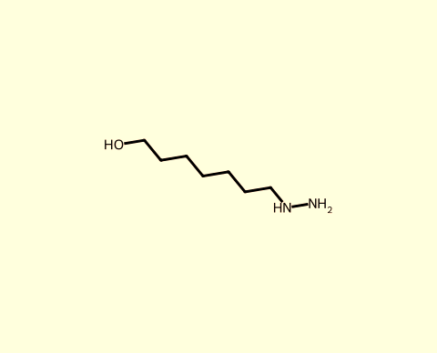 NNCCCCCCCO